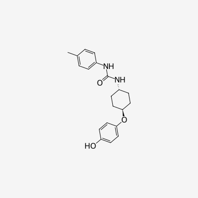 Cc1ccc(NC(=O)N[C@H]2CC[C@H](Oc3ccc(O)cc3)CC2)cc1